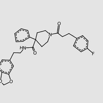 O=C(CCc1ccc(F)cc1)N1CCC(C(=O)NCCc2ccc3c(c2)OCO3)(c2ccccc2)CC1